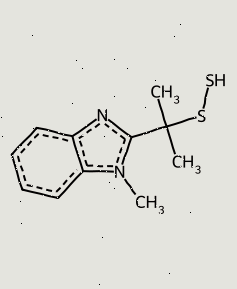 Cn1c(C(C)(C)SS)nc2ccccc21